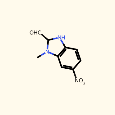 CN1c2cc([N+](=O)[O-])ccc2NC1C=O